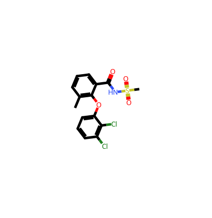 Cc1cccc(C(=O)NS(C)(=O)=O)c1Oc1cccc(Cl)c1Cl